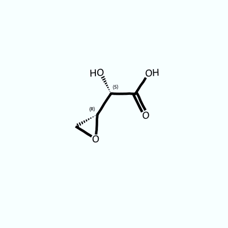 O=C(O)[C@@H](O)[C@H]1CO1